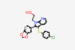 OCCn1c(-c2ccc3c(c2)OCO3)c(Sc2ccc(Cl)cc2)c2cccnc21